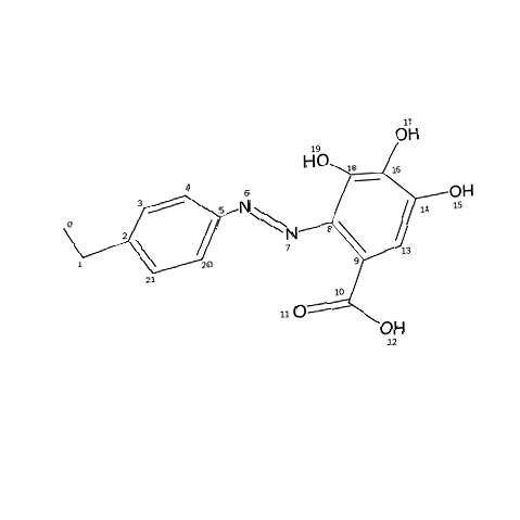 CCc1ccc(/N=N/c2c(C(=O)O)cc(O)c(O)c2O)cc1